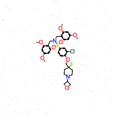 COc1ccc(CN(Cc2ccc(OC)cc2OC)S(=O)(=O)c2ccc(OCC3(F)CCN(C4COC4)CC3)c(Cl)c2)c(OC)c1